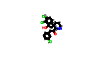 O=C(Cc1cccc(Cl)c1)C1NCCCC1(CCO)c1ccc(Cl)c(Cl)c1